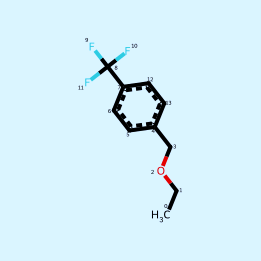 C[CH]OCc1ccc(C(F)(F)F)cc1